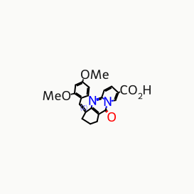 COc1ccc(/C=C2/CCCc3c2nc2ccc(C(=O)O)cn2c3=O)c(OC)c1